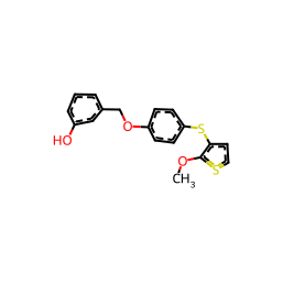 COc1sccc1Sc1ccc(OCc2cccc(O)c2)cc1